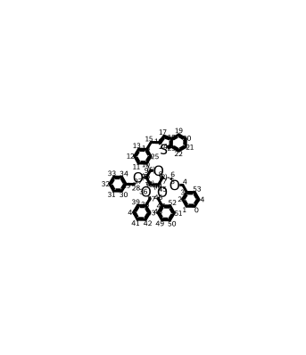 c1ccc(COC[C@H]2O[C@@H](c3cccc(Cc4cc5ccccc5s4)c3)[C@H](OCc3ccccc3)[C@@H](OCc3ccccc3)[C@@H]2OCc2ccccc2)cc1